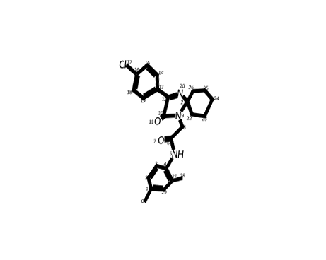 Cc1ccc(NC(=O)CN2C(=O)C(c3ccc(Cl)cc3)=NC23CCCCC3)c(C)c1